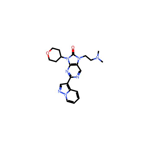 CN(C)CCn1c(=O)n(C2CCOCC2)c2nc(-c3cnn4ccccc34)ncc21